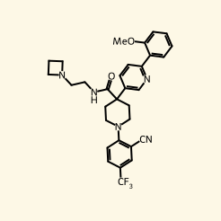 COc1ccccc1-c1ccc(C2(C(=O)NCCN3CCC3)CCN(c3ccc(C(F)(F)F)cc3C#N)CC2)cn1